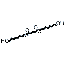 O=C(CCCC(=O)OCCCCCCCCO)OCCCCCCCCO